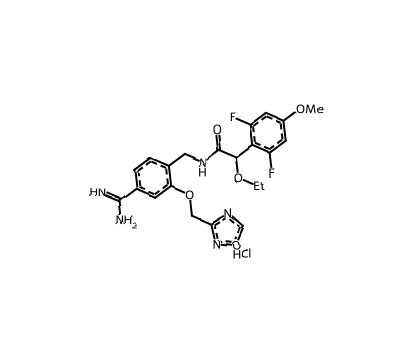 CCOC(C(=O)NCc1ccc(C(=N)N)cc1OCc1ncon1)c1c(F)cc(OC)cc1F.Cl